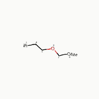 COCOC[CH]C(C)C